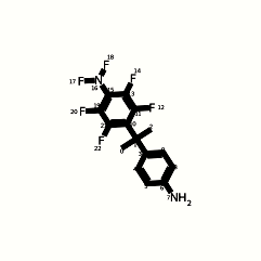 CC(C)(c1ccc(N)cc1)c1c(F)c(F)c(N(F)F)c(F)c1F